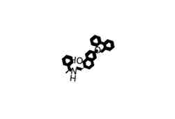 C[C@H](NCC[C@H]1CCc2cc(OCc3ccccc3-c3ccccc3)ccc2[C@@H]1O)c1ccccc1